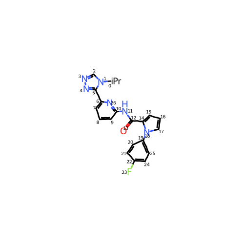 CC(C)n1cnnc1-c1cccc(NC(=O)c2cccn2-c2ccc(F)cc2)n1